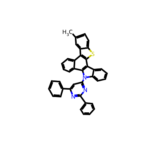 Cc1ccc2sc3c(c2c1)c1ccccc1c1c3c2ccccc2n1-c1cc(-c2ccccc2)nc(-c2ccccc2)n1